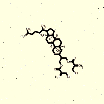 C=C(CO)C(=O)OCC(COC(=O)C(=C)CO)C1CC[C@@]2(C)[C@@H](CC[C@@H]3[C@@H]2CC[C@]2(C)C([C@H](C)CCCC(C)C)CC[C@@H]32)C1